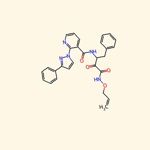 C=CCONC(=O)C(=O)C(Cc1ccccc1)NC(=O)c1cccnc1-n1ccc(-c2ccccc2)n1